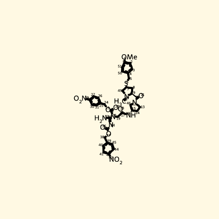 COc1ccc(CS[C@H]2C[C@@H](C(=O)N3CC[C@H](NC(=O)CN(C(=O)OCc4ccc([N+](=O)[O-])cc4)C(N)=NC(=O)OCc4ccc([N+](=O)[O-])cc4)C3)N(C)C2)cc1